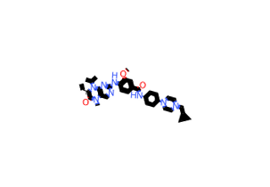 CC[C@H]1C(=O)N(C)c2cnc(Nc3ccc(C(=O)N[C@H]4CC[C@H](N5CCN(CC6CC6)CC5)CC4)cc3OC)nc2N1C(C)C